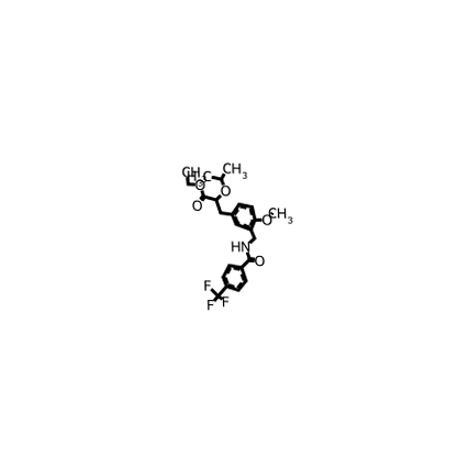 CCOC(=O)C(Cc1ccc(OC)c(CNC(=O)c2ccc(C(F)(F)F)cc2)c1)OC(C)C